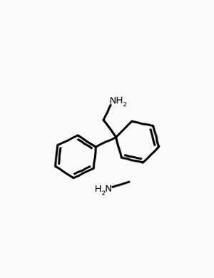 CN.NCC1(c2ccccc2)C=CC=CC1